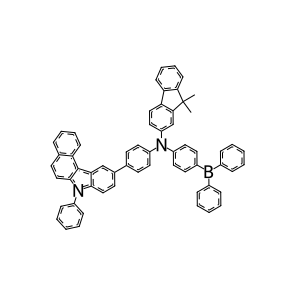 CC1(C)c2ccccc2-c2ccc(N(c3ccc(B(c4ccccc4)c4ccccc4)cc3)c3ccc(-c4ccc5c(c4)c4c6ccccc6ccc4n5-c4ccccc4)cc3)cc21